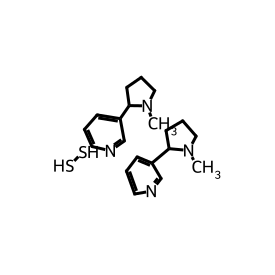 CN1CCCC1c1cccnc1.CN1CCCC1c1cccnc1.SS